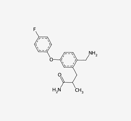 CC(Cc1cc(Oc2ccc(F)cc2)ccc1CN)C(N)=O